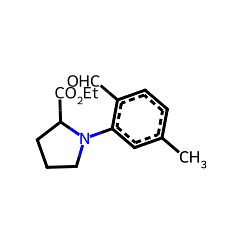 CCOC(=O)C1CCCN1c1cc(C)ccc1C=O